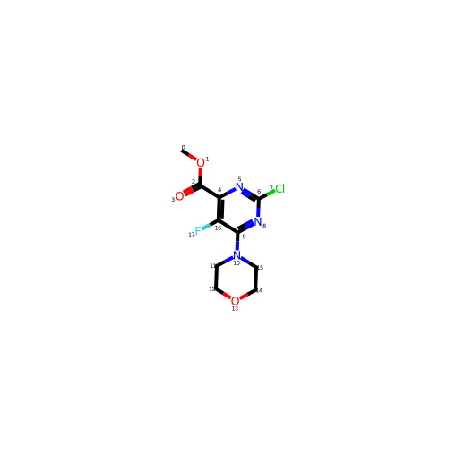 COC(=O)c1nc(Cl)nc(N2CCOCC2)c1F